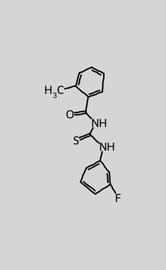 Cc1ccccc1C(=O)NC(=S)Nc1cccc(F)c1